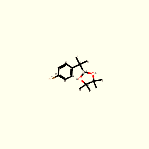 CC(C)(B1OC(C)(C)C(C)(C)O1)c1ccc(Br)cc1